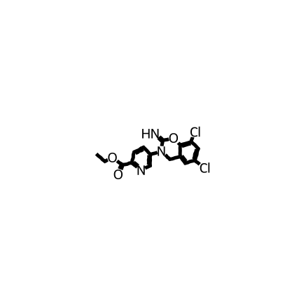 CCOC(=O)c1ccc(N2Cc3cc(Cl)cc(Cl)c3OC2=N)cn1